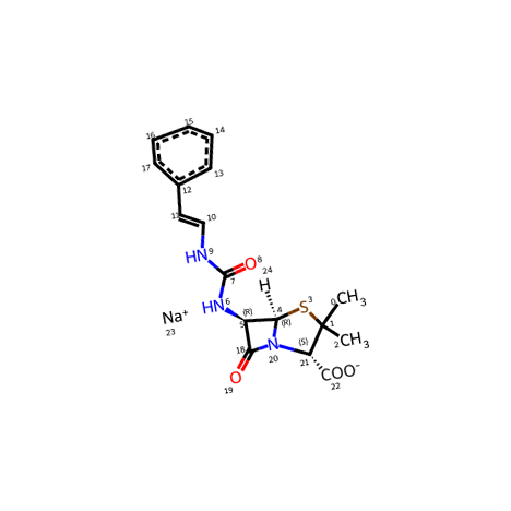 CC1(C)S[C@@H]2[C@H](NC(=O)NC=Cc3ccccc3)C(=O)N2[C@H]1C(=O)[O-].[Na+]